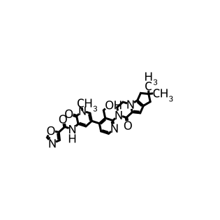 Cn1cc(-c2ccnc(N3CCn4c(cc5c4CC(C)(C)C5)C3=O)c2CO)cc(NC(=O)c2cnco2)c1=O